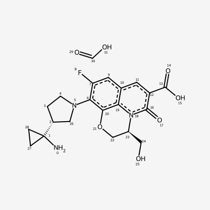 NC1([C@@H]2CCN(c3c(F)cc4cc(C(=O)O)c(=O)n5c4c3OC[C@@H]5CO)C2)CC1.O=CO